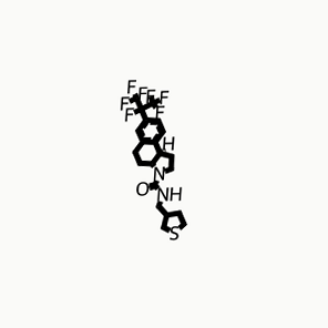 O=C(NCC1CCSC1)N1CC[C@H]2c3ccc(C(F)(C(F)(F)F)C(F)(F)F)cc3CCC21